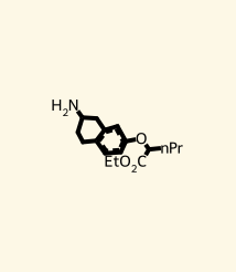 CCCC(Oc1ccc2c(c1)CC(N)CC2)C(=O)OCC